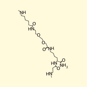 CNCCCCCC(=O)NCCOCCOCC(=O)NCCCCC(NC(=O)CCNC)C(N)=O